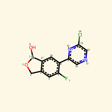 OB1OCc2cc(F)c(-c3cncc(Cl)n3)cc21